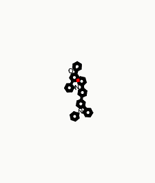 c1ccc(-n2c3ccccc3c3cc(-c4ccc5c6ccccc6n(-c6ccccc6-c6ccc7c(c6)oc6ccccc67)c5c4)ccc32)cc1